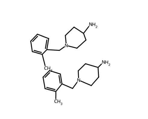 Cc1ccccc1CN1CCC(N)CC1.Cc1ccccc1CN1CCC(N)CC1